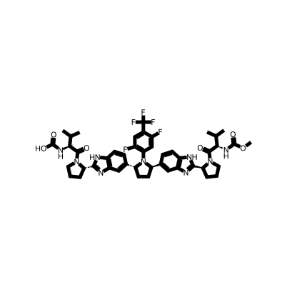 COC(=O)N[C@H](C(=O)N1CCC[C@H]1c1nc2cc([C@H]3CC[C@H](c4ccc5[nH]c([C@@H]6CCCN6C(=O)[C@@H](NC(=O)O)C(C)C)nc5c4)N3c3cc(F)c(C(F)(F)F)cc3F)ccc2[nH]1)C(C)C